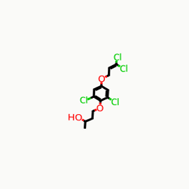 CC(O)CCOc1c(Cl)cc(OCC=C(Cl)Cl)cc1Cl